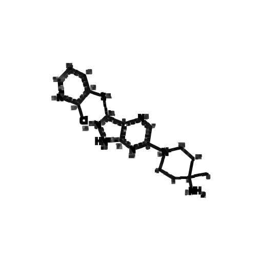 CC1(N)CCN(c2cnc3c(Sc4cccnc4Cl)n[nH]c3n2)CC1